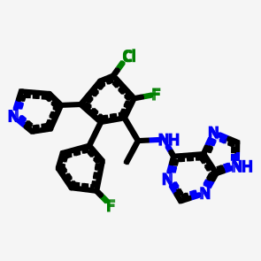 CC(Nc1ncnc2[nH]cnc12)c1c(F)c(Cl)cc(-c2ccncc2)c1-c1cccc(F)c1